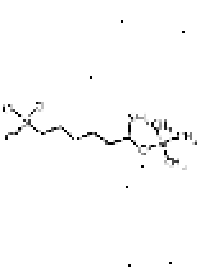 C[Si](C)(C)OC([SiH3])CCCCC[Si](Cl)(Cl)Cl